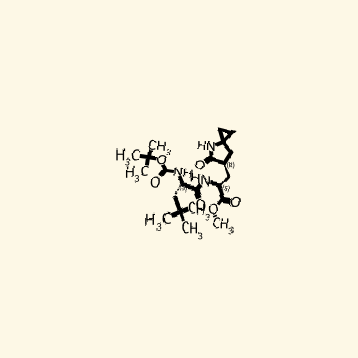 COC(=O)[C@H](C[C@@H]1CC2(CC2)NC1=O)NC(=O)[C@H](CC(C)(C)C)NC(=O)OC(C)(C)C